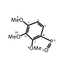 COc1ccc(P=O)c(OC)c1OC